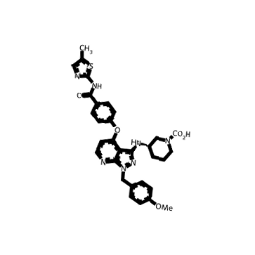 COc1ccc(Cn2nc(N[C@@H]3CCCN(C(=O)O)C3)c3c(Oc4ccc(C(=O)Nc5ncc(C)s5)cc4)ccnc32)cc1